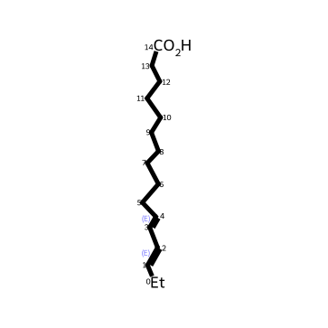 CC/C=C/C=C/CCCCCCCCCC(=O)O